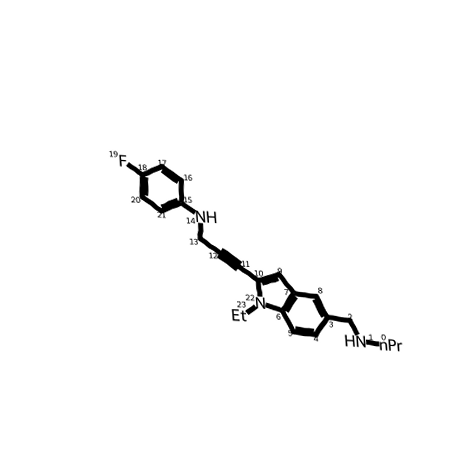 CCCNCc1ccc2c(c1)cc(C#CCNc1ccc(F)cc1)n2CC